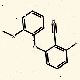 CSc1ccccc1Oc1cccc(F)c1C#N